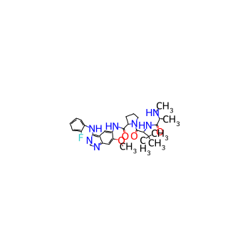 CN[C@@H](C)C(=O)N[C@H](C(=O)N1CCCC1C(=O)Nc1cc2c(Nc3ccccc3F)ncnc2cc1OC)C(C)(C)C